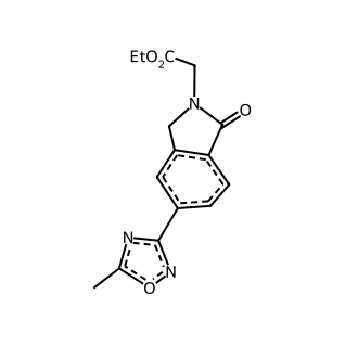 CCOC(=O)CN1Cc2cc(-c3noc(C)n3)ccc2C1=O